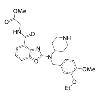 CCOc1cc(CN(c2nc3c(C(=O)NCC(=O)OC)cccc3o2)C2CCNCC2)ccc1OC